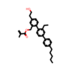 C=C(C)C(=O)OCc1cc(CCO)ccc1-c1ccc(-c2ccc(CCCCC)cc2)cc1CC